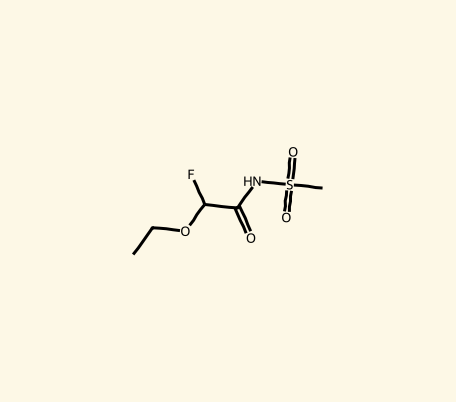 CCOC(F)C(=O)NS(C)(=O)=O